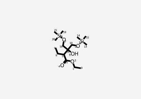 CCOC(=O)C(CC)C(O)(CO[Si](C)(C)C)CO[Si](C)(C)C